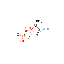 BC1OC(CP(=O)(O)O)C=C1F